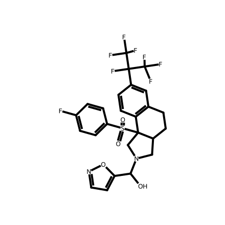 O=S(=O)(c1ccc(F)cc1)C12CN(C(O)c3ccno3)CC1CCc1cc(C(F)(C(F)(F)F)C(F)(F)F)ccc12